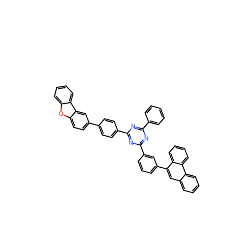 c1ccc(-c2nc(-c3ccc(-c4ccc5oc6ccccc6c5c4)cc3)nc(-c3cccc(-c4cc5ccccc5c5ccccc45)c3)n2)cc1